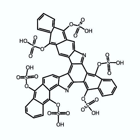 O=S(=O)(O)Oc1c2ccccc2c(OS(=O)(=O)O)c2cc3c(cc12)N=c1c-3c2c(c3c(OS(=O)(=O)O)c4ccccc4c(OS(=O)(=O)O)c13)=Nc1c-2ccc2c(OS(=O)(=O)O)c3ccccc3c(OS(=O)(=O)O)c12